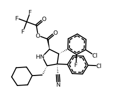 N#C[C@]1(c2ccc(Cl)cc2)[C@H](CC2CCCCC2)N[C@@H](C(=O)OC(=O)C(F)(F)F)[C@@H]1c1cccc(Cl)c1F